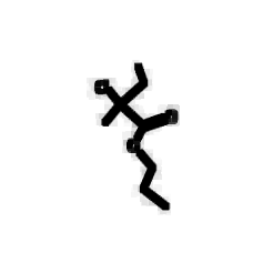 CCCOC(=O)C(C)(Cl)CC